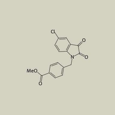 COC(=O)c1ccc(CN2C(=O)C(=O)c3cc(Cl)ccc32)cc1